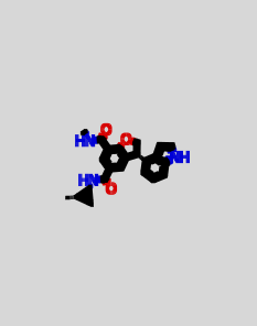 CNC(=O)c1cc(C(=O)N[C@H]2C[C@@H]2C)cc2c1OC[C@@H]2c1cccc2[nH]ccc12